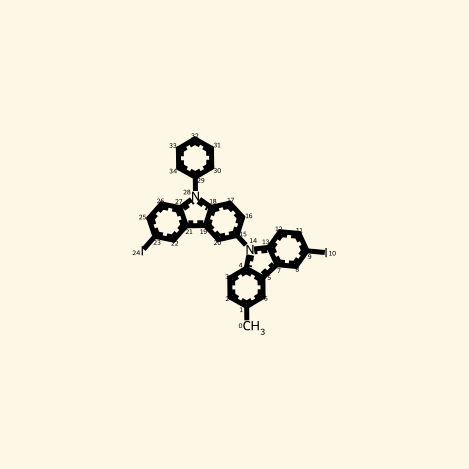 Cc1ccc2c(c1)c1cc(I)ccc1n2-c1ccc2c(c1)c1cc(I)ccc1n2-c1ccccc1